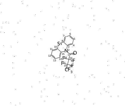 O=C(N1c2ccccc2Sc2ccccc21)C(F)(F)C(F)(F)C(F)(F)F